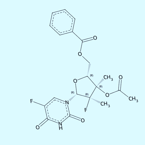 CC(=O)O[C@]1(C)[C@@H](COC(=O)c2ccccc2)O[C@@H](n2cc(F)c(=O)[nH]c2=O)[C@]1(C)F